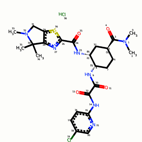 CN(C)C(=O)[C@H]1CC[C@H](NC(=O)C(=O)Nc2ccc(Cl)cn2)[C@H](NC(=O)c2nc3c(s2)CN(C)C3(C)C)C1.Cl